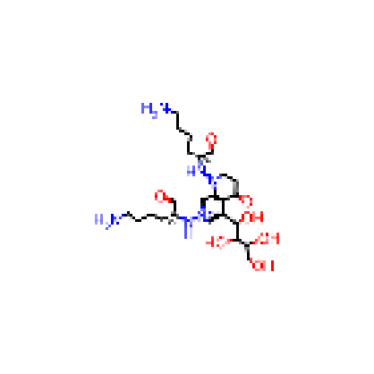 NCCCC[C@@H](C=O)NN1CCC(=O)c2c(C(O)C(O)C(O)CO)c[n+](N[C@H](C=O)CCCCN)cc21